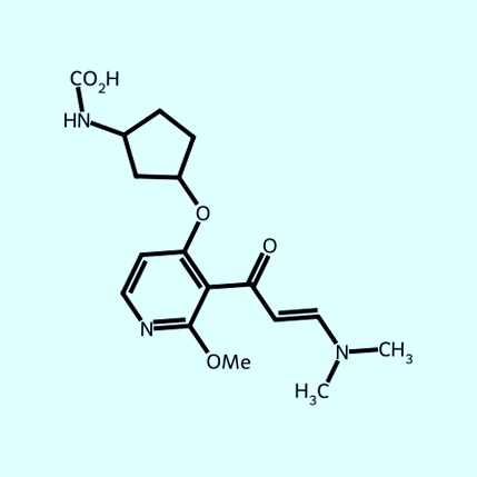 COc1nccc(OC2CCC(NC(=O)O)C2)c1C(=O)C=CN(C)C